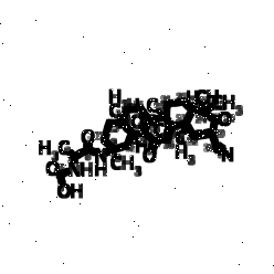 CC(NC(=O)O)C(=O)N[C@@]1(C)CC[C@@]2(C)CC[C@@]3(C)[C@]4(C)CC[C@H]5C(C)(C)C(=O)C(C#N)=C[C@]5(C)C4=CC(=O)[C@]3(O)[C@@H]2C1